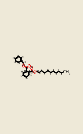 CCCCCCCCCCCOC(=O)c1ccccc1C(=O)OCc1ccccc1